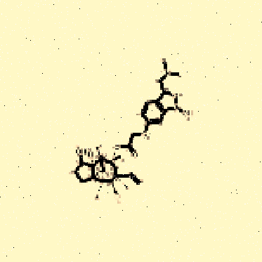 C=C[C@]1(C)C[C@@H](OC(=O)COc2ccc3c(c2)B(O)OC3CN(C)C)[C@]2(C)[C@H](C)CC[C@]3(CCC(O)[C@H]32)[C@@H](C)[C@@H]1O